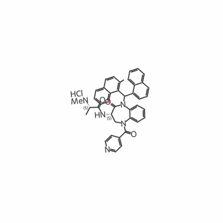 CN[C@@H](C)C(=O)N[C@H]1CN(C(=O)c2ccncc2)c2ccccc2N(C(c2cccc3ccccc23)c2c(C)ccc3ccccc23)C1=O.Cl